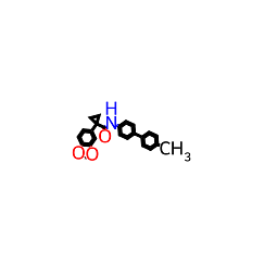 Cc1ccc(-c2ccc(NC(=O)C3(c4ccc5c(c4)OCO5)CC3)cc2)cc1